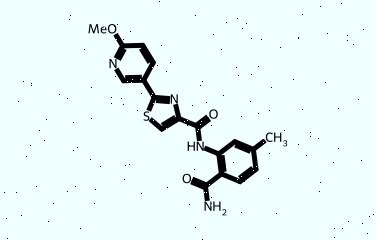 COc1ccc(-c2nc(C(=O)Nc3cc(C)ccc3C(N)=O)cs2)cn1